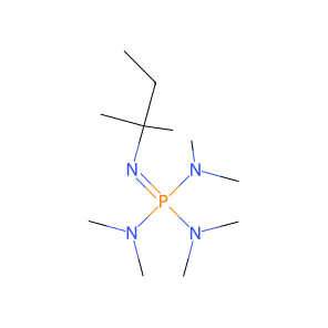 CCC(C)(C)N=P(N(C)C)(N(C)C)N(C)C